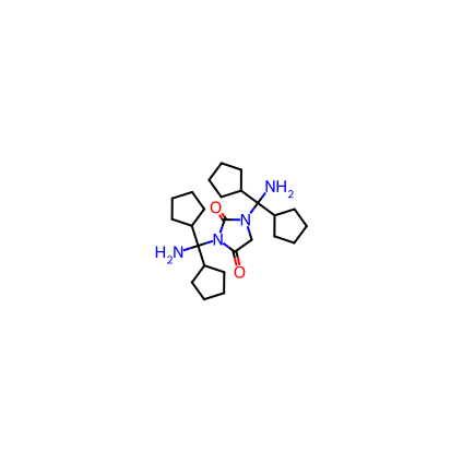 NC(C1CCCC1)(C1CCCC1)N1CC(=O)N(C(N)(C2CCCC2)C2CCCC2)C1=O